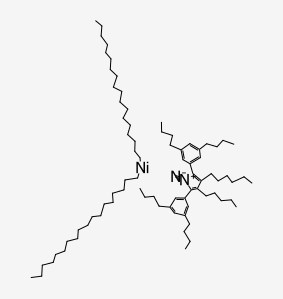 CCCCCCC1=C(c2cc(CCCC)cc(CCCC)c2)[N+](=[N-])C(c2cc(CCCC)cc(CCCC)c2)=C1CCCCC.CCCCCCCCCCCCCCCCC[CH2][Ni][CH2]CCCCCCCCCCCCCCCCC